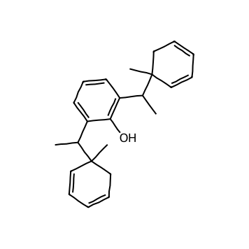 CC(c1cccc(C(C)C2(C)C=CC=CC2)c1O)C1(C)C=CC=CC1